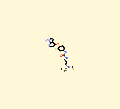 CN(C)CCCNC(=O)Nc1cc(F)c(Oc2ccnc3[nH]ccc23)c(F)c1